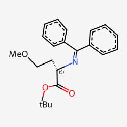 COCC[C@H](N=C(c1ccccc1)c1ccccc1)C(=O)OC(C)(C)C